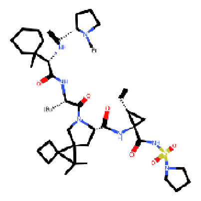 C=C[C@@H]1C[C@]1(NC(=O)[C@@H]1C[C@@]2(CN1C(=O)[C@@H](NC(=O)[C@@H](NC(=C)[C@@H]1CCCN1CC)C1(C)CCCCC1)C(C)(C)C)C(C)(C)C21CCC1)C(=O)NS(=O)(=O)N1CCCC1